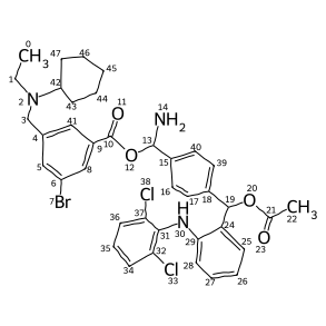 CCN(Cc1cc(Br)cc(C(=O)OC(N)c2ccc(C(OC(C)=O)c3ccccc3Nc3c(Cl)cccc3Cl)cc2)c1)C1CCCCC1